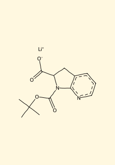 CC(C)(C)OC(=O)N1c2ncccc2CC1C(=O)[O-].[Li+]